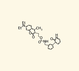 CCN(CC)c1ccc2c(C)c(CCOC(=O)NCc3cccc(-c4ccc[nH]c4=O)c3)c(=O)oc2c1